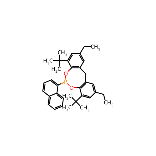 CCc1cc2c(c(C(C)(C)C)c1)OP(c1cccc3ccccc13)Oc1c(cc(CC)cc1C(C)(C)C)C2